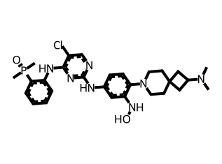 CN(C)C1CC2(CCN(c3ccc(Nc4ncc(Cl)c(Nc5ccccc5P(C)(C)=O)n4)cc3NO)CC2)C1